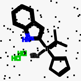 C[C](C)=[Ti]([C]1=CC=CC1)([c]1cc2ccccc2[nH]1)[C](C)(C)C.Cl.Cl